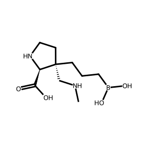 CNC[C@@]1(CCCB(O)O)CCN[C@@H]1C(=O)O